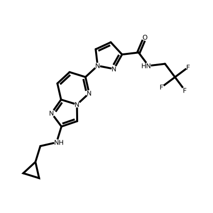 O=C(NCC(F)(F)F)c1ccn(-c2ccc3nc(NCC4CC4)cn3n2)n1